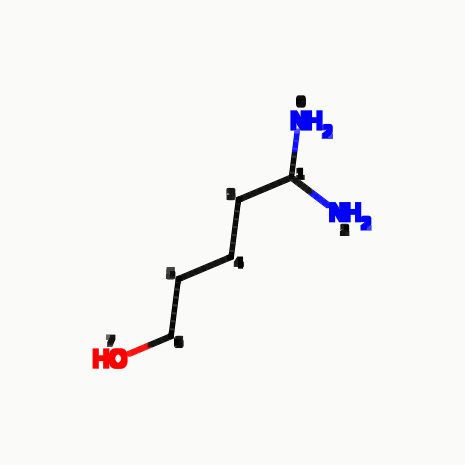 NC(N)CCCCO